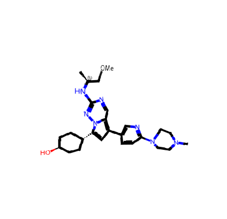 COC[C@H](C)Nc1ncc2c(-c3ccc(N4CCN(C)CC4)nc3)cc([C@H]3CC[C@H](O)CC3)n2n1